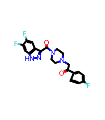 O=C(CN1CCN(C(=O)c2n[nH]c3cc(F)c(F)cc23)CC1)c1ccc(F)cc1